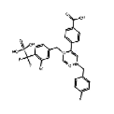 O=CN(Cc1ccc(C(F)(F)P(=O)(O)O)c(Br)c1)/C(=C\NCc1ccc(F)cc1)c1ccc(C(=O)O)cc1